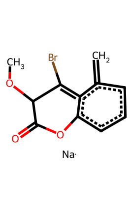 C=c1cccc2c1=C(Br)C(OC)C(=O)O2.[Na]